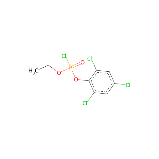 CCOP(=O)(Cl)Oc1c(Cl)cc(Cl)cc1Cl